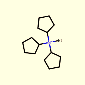 CC[N+](C1CCCC1)(C1CCCC1)C1CCCC1